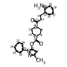 Cc1cc(OC(=O)N2CCN(C(=O)CCc3ccccc3N)CC2)n(-c2ccccc2)n1